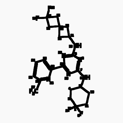 FC1(F)CCC(Nc2nc(NC3CC4(C3)CC(F)(F)C4)nc(-c3cccc(C(F)(F)F)n3)n2)CC1